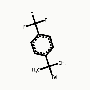 CC(C)([TeH])c1ccc(C(F)(F)F)cc1